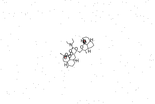 CCN(CC)C(=O)O[C@@H](CC1O[C@@H]2O[C@]3(C)CC[C@H]4[C@H](C)CC[C@@H]([C@H]1C)[C@@]24OO3)C1O[C@@H]2O[C@]3(C)CC[C@H]4[C@H](C)CC[C@@H]([C@H]1C)[C@@]24OO3